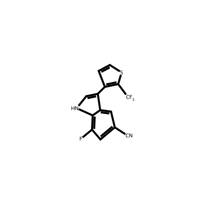 N#Cc1cc(F)c2[nH]cc(-c3ccsc3C(F)(F)F)c2c1